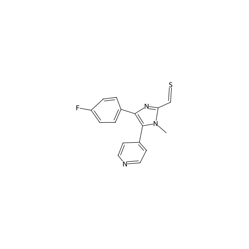 Cn1c(C=S)nc(-c2ccc(F)cc2)c1-c1ccncc1